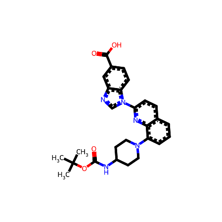 CC(C)(C)OC(=O)NC1CCN(c2cccc3ccc(-n4cnc5cc(C(=O)O)ccc54)nc23)CC1